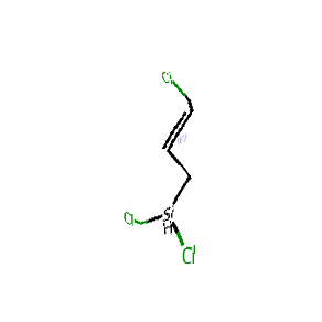 Cl/C=C/C[SiH](Cl)Cl